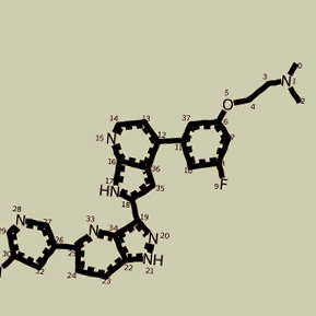 CN(C)CCOc1cc(F)cc(-c2ccnc3[nH]c(-c4n[nH]c5ccc(-c6cncc(N)c6)nc45)cc23)c1